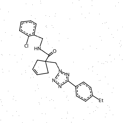 CCc1ccc(-c2nnn(CC3(C(=O)NCc4ccccc4Cl)CC=CC3)n2)cc1